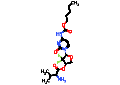 CCCCCOC(=O)Nc1ccn([C@@H]2O[CH][C@@H](OC(=O)[C@@H](N)C(C)C)C2(F)F)c(=O)n1